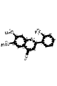 COc1cc2sc(-c3ccccc3C(F)(F)F)cc(=O)c2cc1OC